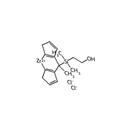 CC1([Si](C)(C)CCO)C2=[C](CC=C2)[Zr+2][C]2=C1C=CC2.[Cl-].[Cl-]